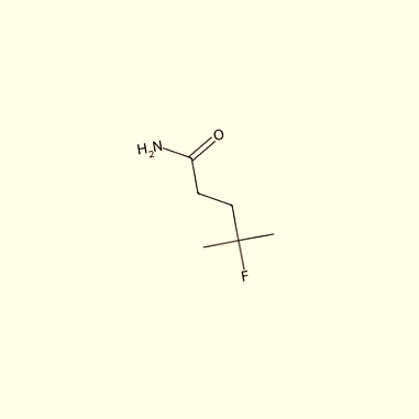 CC(C)(F)CCC(N)=O